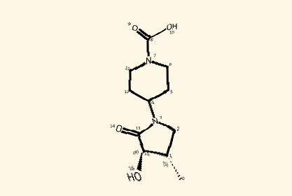 C[C@H]1CN(C2CCN(C(=O)O)CC2)C(=O)[C@@H]1O